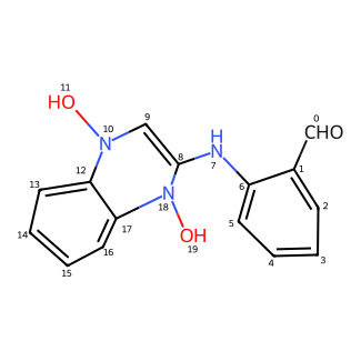 O=Cc1ccccc1NC1=CN(O)c2ccccc2N1O